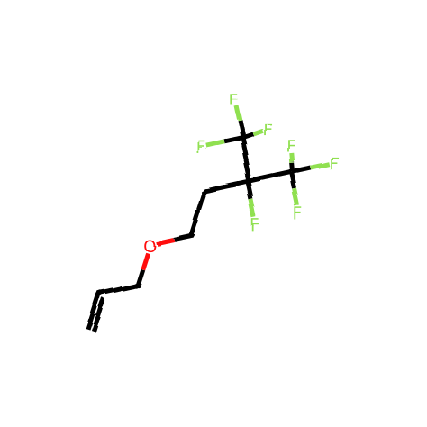 C=CCOCCC(F)(C(F)(F)F)C(F)(F)F